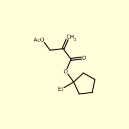 C=C(COC(C)=O)C(=O)OC1(CC)CCCC1